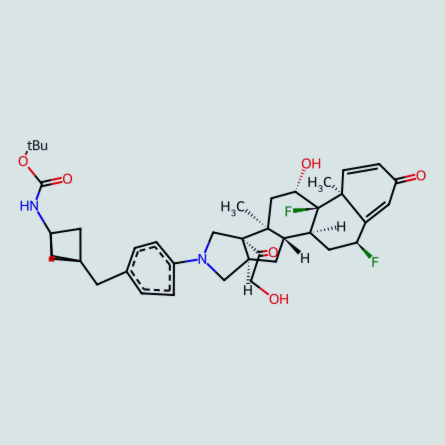 CC(C)(C)OC(=O)NC12CC(Cc3ccc(N4C[C@@H]5C[C@H]6[C@@H]7C[C@H](F)C8=CC(=O)C=C[C@]8(C)[C@@]7(F)[C@@H](O)C[C@]6(C)[C@]5(C(=O)CO)C4)cc3)(C1)C2